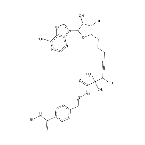 CCNC(=O)c1ccc(/C=N/NC(=O)C(C)(C)C(C)C#CCSCC2OC(n3cnc4c(N)ncnc43)C(O)C2O)cc1